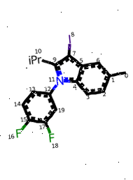 Cc1ccc2c(c1)c(I)c(C(C)C)n2-c1ccc(F)c(F)c1